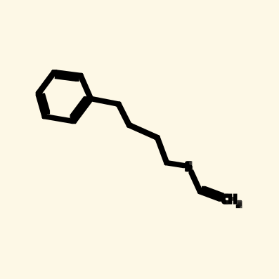 C=CSCCCCc1ccccc1